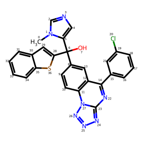 Cn1cncc1C(O)(c1ccc2c(c1)c(-c1cccc(Cl)c1)nc1nnnn12)c1cc2ccccc2s1